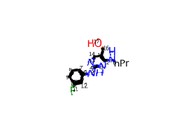 CCCNc1nc(Nc2cccc(F)c2)ncc1CO